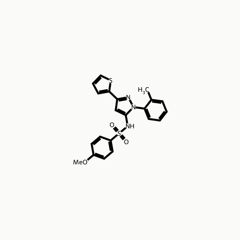 COc1ccc(S(=O)(=O)Nc2cc(-c3cccs3)nn2-c2ccccc2C)cc1